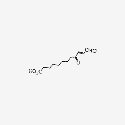 O=C/C=C/C(=O)CCCCCCCC(=O)O